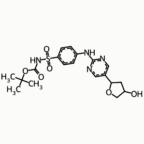 CC(C)(C)OC(=O)NS(=O)(=O)c1ccc(Nc2ncc(C3CC(O)CO3)cn2)cc1